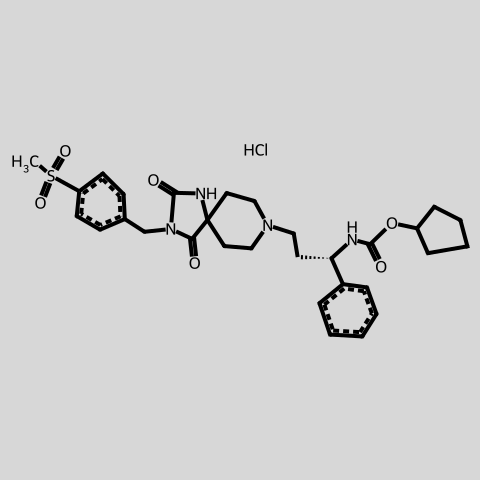 CS(=O)(=O)c1ccc(CN2C(=O)NC3(CCN(CC[C@H](NC(=O)OC4CCCC4)c4ccccc4)CC3)C2=O)cc1.Cl